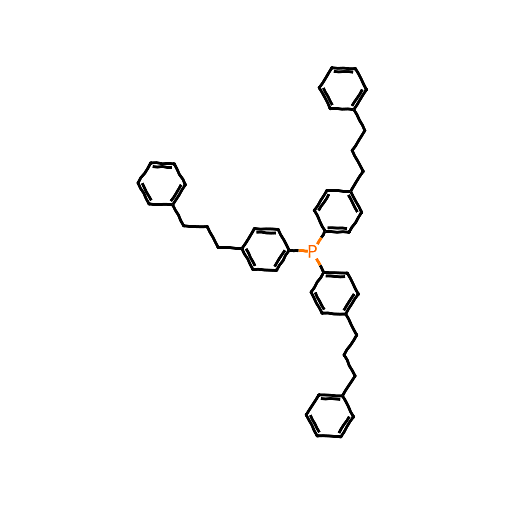 c1ccc(CCCc2ccc(P(c3ccc(CCCc4ccccc4)cc3)c3ccc(CCCc4ccccc4)cc3)cc2)cc1